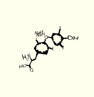 NC(Cc1cc(I)c(Oc2cc(I)c(O)c(I)c2)c(I)c1)C(=O)O.[NaH].[NaH]